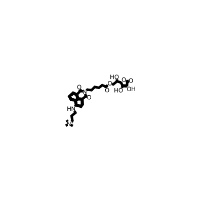 C[N+](C)(C)CCCNc1ccc2c3c(cccc13)C(=O)N(CCCCCC(=O)OCC(O)C1OC(=O)C(O)=C1O)C2=O